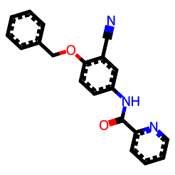 N#Cc1cc(NC(=O)c2ccccn2)ccc1OCc1ccccc1